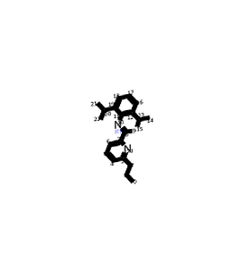 CCCc1cccc(/C(C)=N/c2c(C(C)C)cccc2C(C)C)n1